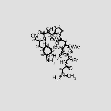 CC[C@H](C)[C@@H]([C@@H](CC(=O)N1CCCC1[C@H](OC)[C@@H](C)C(=O)NC(CC#N)Cc1cccc(N)c1)OC)N(C)C(=O)C(NC(=O)CN(C)C)C(C)C